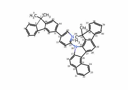 CC1(C)c2ccccc2-c2cc(-c3ccc(-n4c5ccc6ccccc6c5c5ccc6c(c54)C(C)(C)c4ccccc4-6)nc3)ccc21